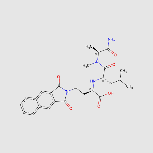 CC(C)C[C@H](N[C@H](CCN1C(=O)c2cc3ccccc3cc2C1=O)C(=O)O)C(=O)N(C)[C@@H](C)C(N)=O